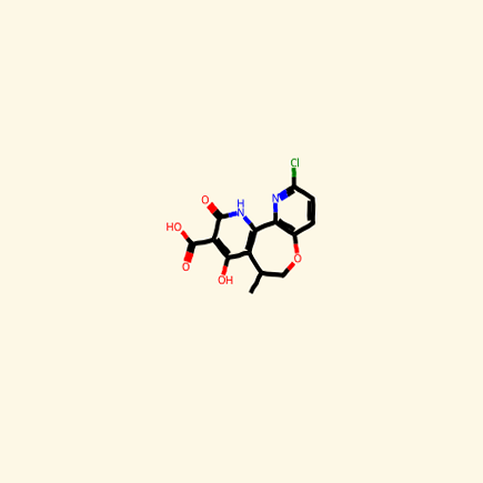 CC1COc2ccc(Cl)nc2-c2[nH]c(=O)c(C(=O)O)c(O)c21